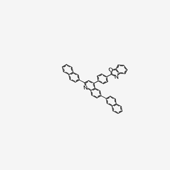 c1ccc2cc(-c3ccc4nc(-c5ccc6ccccc6c5)cc(-c5ccc(-c6nc7ccccc7o6)cc5)c4c3)ccc2c1